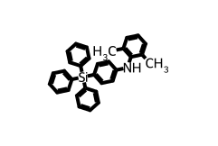 Cc1cccc(C)c1Nc1ccc([Si](c2ccccc2)(c2ccccc2)c2ccccc2)cc1